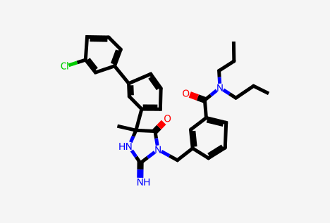 CCCN(CCC)C(=O)c1cccc(CN2C(=N)NC(C)(c3cccc(-c4cccc(Cl)c4)c3)C2=O)c1